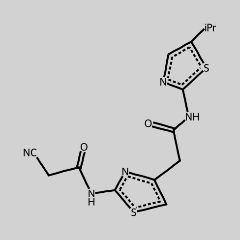 CC(C)c1cnc(NC(=O)Cc2csc(NC(=O)CC#N)n2)s1